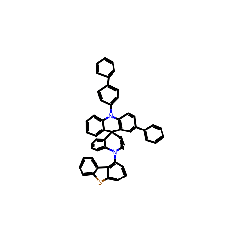 c1ccc(-c2ccc(N3c4ccccc4C4(c5cc(-c6ccccc6)ccc53)c3ccccc3N(c3cccc5sc6ccccc6c35)c3ccccc34)cc2)cc1